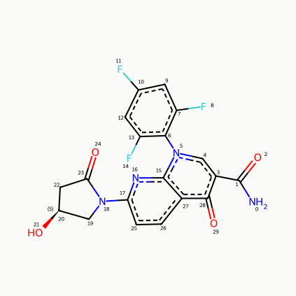 NC(=O)c1cn(-c2c(F)cc(F)cc2F)c2nc(N3C[C@@H](O)CC3=O)ccc2c1=O